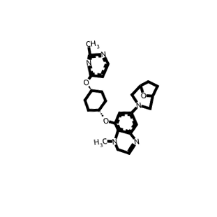 Cc1nccc(O[C@H]2CC[C@@H](Oc3cc(N4CC5CCC(C4)O5)cc4c3N(C)CC=N4)CC2)n1